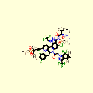 CC(C)C(N)C(=O)N(c1nn(CC(F)(F)F)c2c(-c3ccc(C#CC(C)(C)S(C)(=O)=O)nc3[C@H](Cc3cc(F)cc(F)c3)NC(=O)Cn3nc(C(F)(F)F)c4c3C(F)(F)[C@@H]3C[C@H]43)ccc(Cl)c12)S(C)(=O)=O